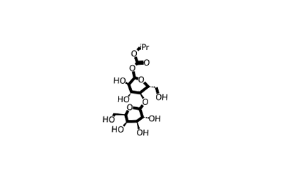 CC(C)OC(=O)OC1O[C@H](CO)[C@@H](OC2O[C@H](CO)[C@H](O)[C@H](O)[C@H]2O)[C@H](O)[C@H]1O